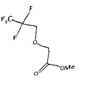 COC(=O)COCC(F)(F)C(F)(F)F